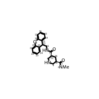 CNC(=O)[C@H]1CNC[C@@H](C(=O)NCC2c3ccccc3Oc3ccccc32)C1